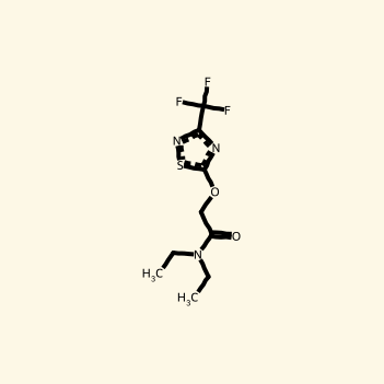 CCN(CC)C(=O)COc1nc(C(F)(F)F)ns1